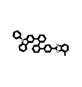 Cc1cccc2nc(-c3ccc(-c4ccccc4-c4ccccc4-c4ccc5c(c4)c4ccccc4n5-c4ccccc4)cc3)oc12